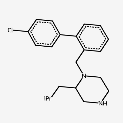 CC(C)CC1CNCCN1Cc1ccccc1-c1ccc(Cl)cc1